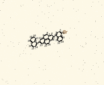 Brc1ccc(-c2cc3ccc4cc(-c5cccc6ccccc56)cc5ccc(c2)c3c45)c2ccccc12